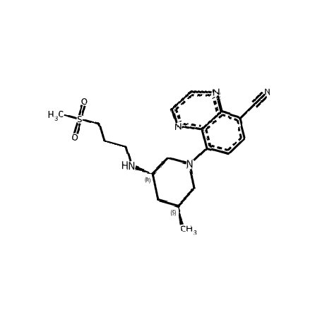 C[C@H]1C[C@@H](NCCCS(C)(=O)=O)CN(c2ccc(C#N)c3nccnc23)C1